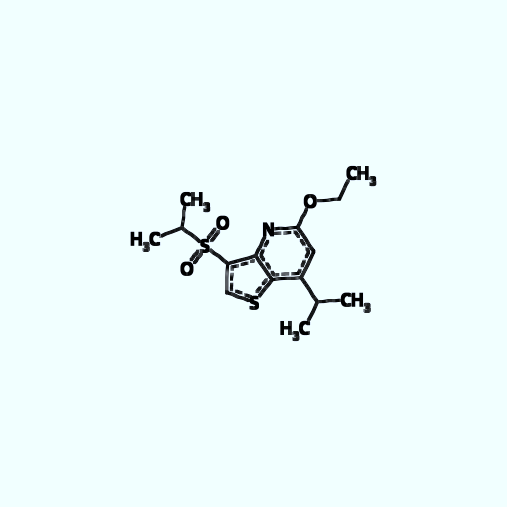 CCOc1cc(C(C)C)c2scc(S(=O)(=O)C(C)C)c2n1